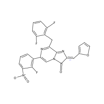 O=C1/C(=C/c2ccco2)N=C2C(Cc3c(F)cccc3F)=NC(c3cccc([N+](=O)[O-])c3F)=CN12